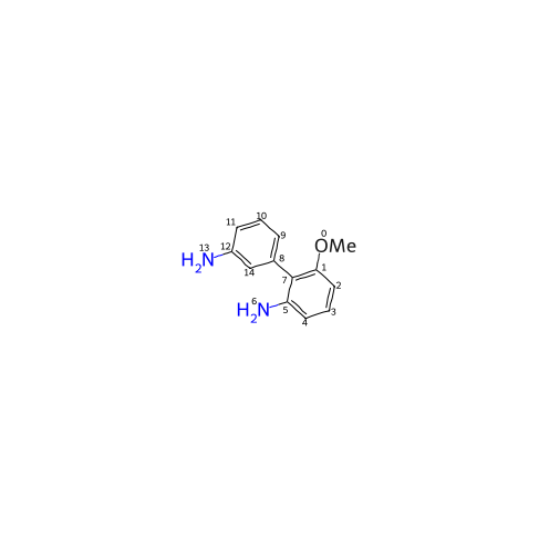 COc1cccc(N)c1-c1cccc(N)c1